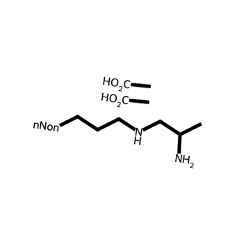 CC(=O)O.CC(=O)O.CCCCCCCCCCCCNCC(C)N